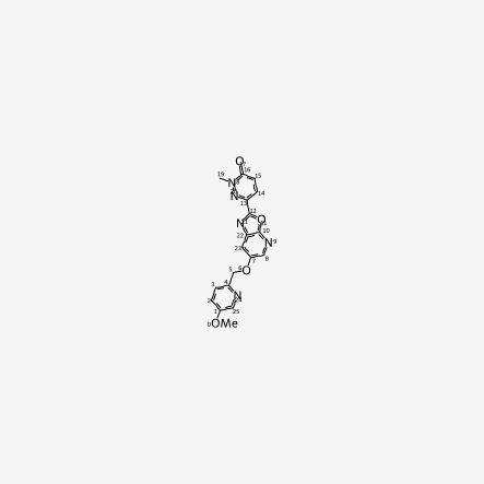 COc1ccc(COc2cnc3oc(-c4ccc(=O)n(C)n4)nc3c2)nc1